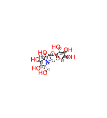 OC[C@@H]1[C@@H](O)[C@H](O)[C@H]2[C@H](O)[C@@H](O[C@@H]3OC=C(O)C(O)C3O)CN21